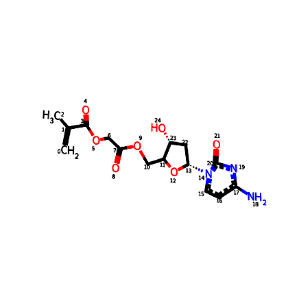 C=C(C)C(=O)OCC(=O)OCC1O[C@@H](n2ccc(N)nc2=O)C[C@H]1O